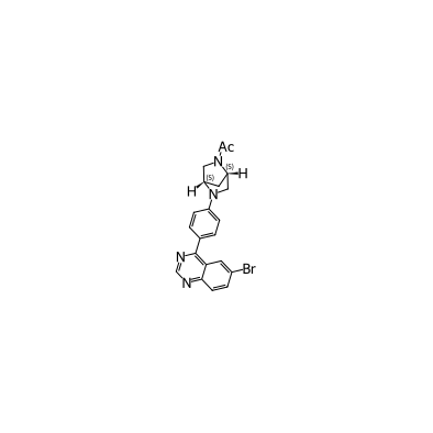 CC(=O)N1C[C@@H]2C[C@H]1CN2c1ccc(-c2ncnc3ccc(Br)cc23)cc1